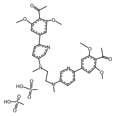 COc1cc(-c2ccc(N(C)CCN(C)c3ccc(-c4cc(OC)c(C(C)=O)c(OC)c4)nc3)cn2)cc(OC)c1C(C)=O.CS(=O)(=O)O.CS(=O)(=O)O